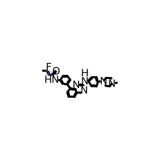 C/C(F)=C/C(=O)Nc1cccc(-c2cccc3cnc(Nc4ccc(N5CCN(C)CC5)cc4)nc23)c1